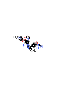 CCc1cnc(Nc2ccc(N3CCOCC3)c(C(=O)OC3CCN(C)CC3)c2)nc1-c1ccc(C(=O)NCC#N)cc1